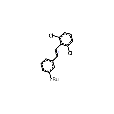 CCCCc1cccc(/C=C/c2c(Cl)cccc2Cl)c1